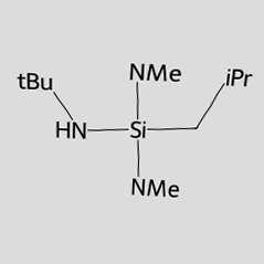 CN[Si](CC(C)C)(NC)NC(C)(C)C